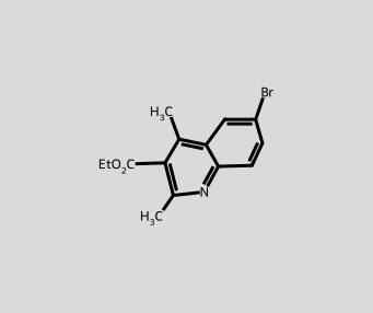 CCOC(=O)c1c(C)nc2ccc(Br)cc2c1C